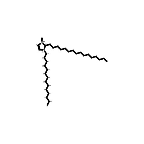 CCCCCCCCCCCCCCCCC1N(C)C=CN1CCCCCCCCCCCCCC